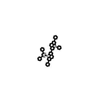 c1ccc(-c2cc3ccc4cc(-c5cc6ccc7cc(-c8ccccc8)cc8c7c6c(c5)n8-c5nc(-c6ccccc6)cc(-c6ccccc6)n5)cc5c4c3c(c2)n5-c2ccccc2)cc1